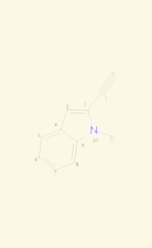 [C]#Cc1cc2ccccc2n1C